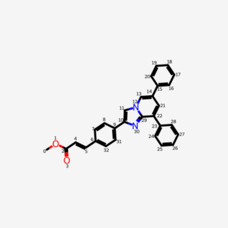 COC(=O)C=Cc1ccc(-c2cn3cc(-c4ccccc4)cc(-c4ccccc4)c3n2)cc1